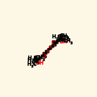 CCC(O)C(CCCCC(=O)OCCOCCOCCOC(=O)CCCCC(C(O)CC)C(C)(C)C)C(C)(C)C